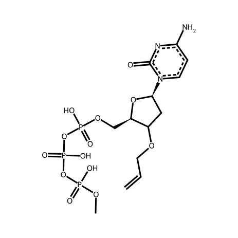 C=CCOC1C[C@H](n2ccc(N)nc2=O)O[C@@H]1COP(=O)(O)OP(=O)(O)OP(=O)(O)OC